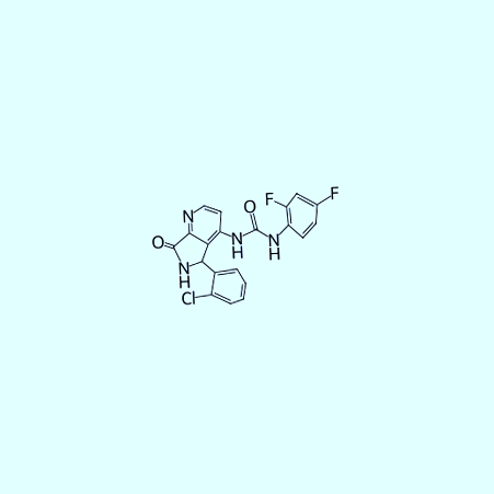 O=C(Nc1ccc(F)cc1F)Nc1ccnc2c1C(c1ccccc1Cl)NC2=O